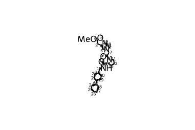 COC(=O)Cc1cn(CC(=O)N2CCC[C@H]2C(=O)NCc2ccc(-c3ccccc3)cc2)nn1